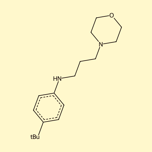 CC(C)(C)c1ccc(NCCCN2CCOCC2)cc1